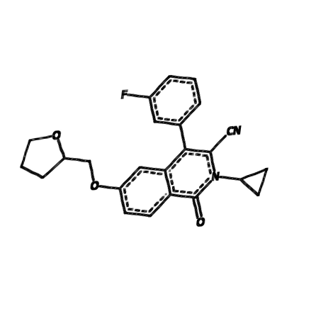 N#Cc1c(-c2cccc(F)c2)c2cc(OCC3CCCO3)ccc2c(=O)n1C1CC1